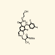 CNC(=O)C(C)CO/N=C\c1cc(C(=O)NOCCO)c(Nc2ccc(I)cc2F)c(F)c1F